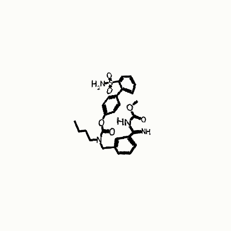 CCCCN(Cc1cccc(C(=N)NC(=O)OC)c1)C(=O)Oc1ccc(-c2ccccc2S(N)(=O)=O)cc1